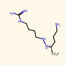 N=C(N)NCCCCNN[C@@H](CCCN)C(=O)O